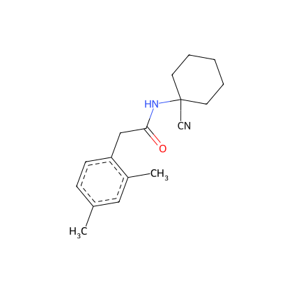 Cc1ccc(CC(=O)NC2(C#N)CCCCC2)c(C)c1